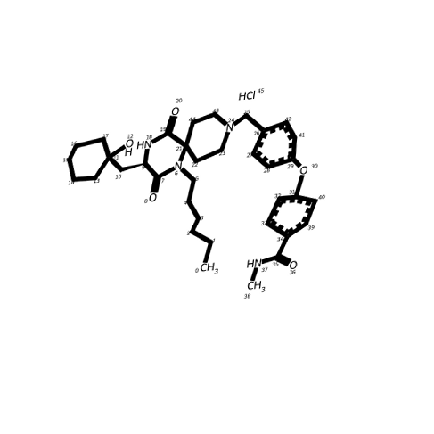 CCCCCCN1C(=O)[C@@H](CC2(O)CCCCC2)NC(=O)C12CCN(Cc1ccc(Oc3ccc(C(=O)NC)cc3)cc1)CC2.Cl